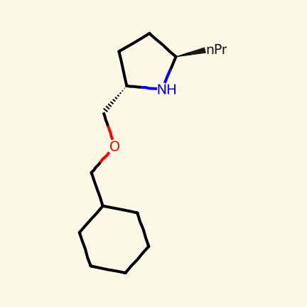 CCC[C@@H]1CC[C@@H](COCC2CCCCC2)N1